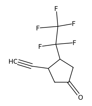 C#CC1CC(=O)CC1C(F)(F)C(F)(F)F